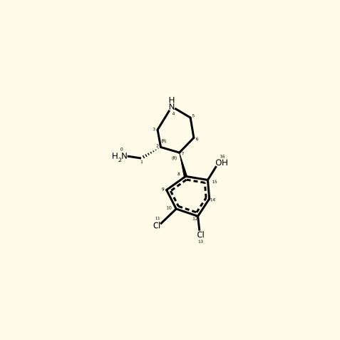 NC[C@@H]1CNCC[C@H]1c1cc(Cl)c(Cl)cc1O